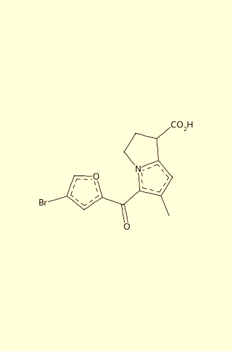 Cc1cc2n(c1C(=O)c1cc(Br)co1)CCC2C(=O)O